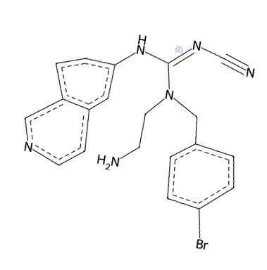 N#C/N=C(/Nc1ccc2cnccc2c1)N(CCN)Cc1ccc(Br)cc1